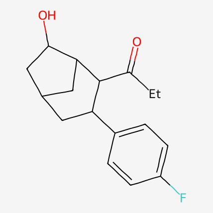 CCC(=O)C1C(c2ccc(F)cc2)CC2CC(O)C1C2